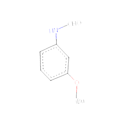 CCC(C)Oc1cccc(N[C]=O)c1